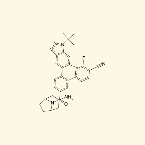 CC(C)(C)n1nnc2cc(-c3ccc(C(=O)N4C5CCC4CC(N)C5)cc3-c3ccc(C#N)c(F)c3)c(F)cc21